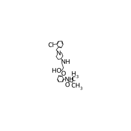 CC(C)C(=O)Nc1ccccc1OC(O)CCNC1CCN(Cc2ccccc2Cl)CC1